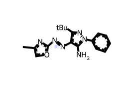 Cc1coc(/N=N/c2c(C(C)(C)C)nn(-c3ccccc3)c2N)n1